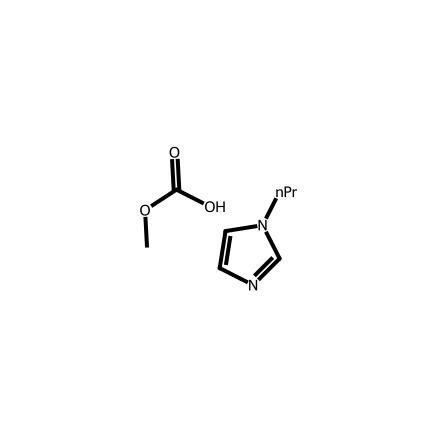 CCCn1ccnc1.COC(=O)O